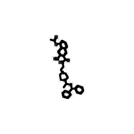 CC(=O)Oc1cccc2cc(C(=O)NCCN3CCN(C(C)SC(c4ccccc4)c4ccccc4)CC3)c(O)cc12